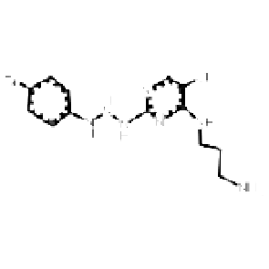 NCCCNc1nc(NNNc2ccc(Br)cc2)ncc1Cl